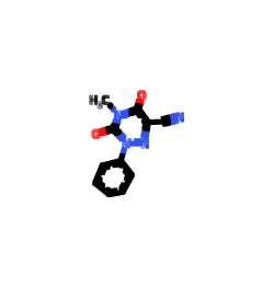 Cn1c(=O)c(C#N)nn(-c2ccccc2)c1=O